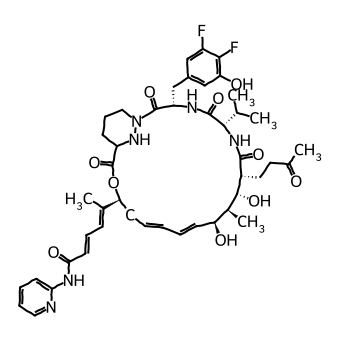 CC(=O)CC[C@H]1C(=O)N[C@@H](C(C)C)C(=O)N[C@@H](Cc2cc(O)c(F)c(F)c2)C(=O)N2CCCC(N2)C(=O)O[C@H](/C(C)=C/C=C/C(=O)Nc2ccccn2)C/C=C/C=C/[C@H](O)[C@H](C)[C@H]1O